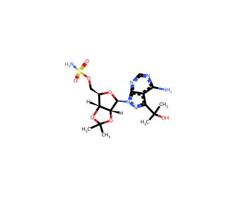 CC1(C)O[C@@H]2[C@H](O1)[C@@H](COS(N)(=O)=O)O[C@H]2n1nc(C(C)(C)O)c2c(N)ncnc21